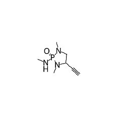 C#CC1CN(C)P(=O)(NC)N1C